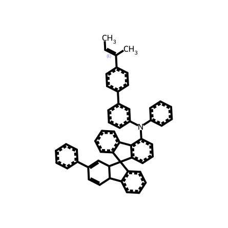 C/C=C(\C)c1ccc(-c2cccc(N(c3ccccc3)c3cccc4c3-c3ccccc3C43c4ccccc4C4C=CC(c5ccccc5)=CC43)c2)cc1